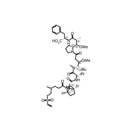 C=CS(=O)(=O)CCN(C)CCC(=O)N1[C@H](C(=O)N[C@H](C(=O)N(C)[C@@H]([C@@H](C)CC)[C@@H](CC(=O)N2CCC[C@H]2[C@H](OC)[C@@H](C)C(=O)N[C@@H](Cc2ccccc2)C(=O)O)OC)C(C)C)[C@H]2CC[C@H]1[C@H]2C